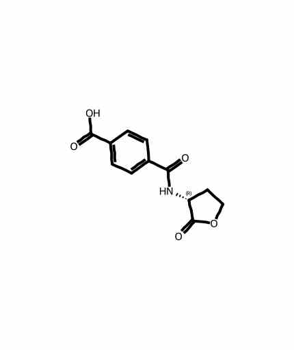 O=C(O)c1ccc(C(=O)N[C@@H]2CCOC2=O)cc1